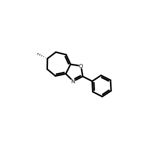 C[C@H]1CC=c2nc(-c3ccccc3)oc2=CC1